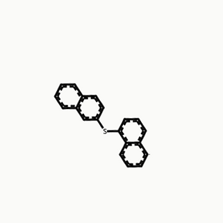 [c]1cccc2c(Sc3ccc4ccccc4c3)cccc12